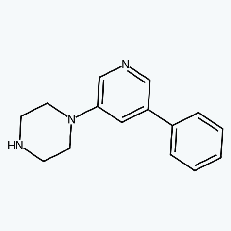 c1ccc(-c2cncc(N3CCNCC3)c2)cc1